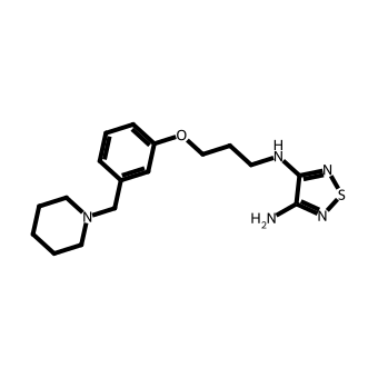 Nc1nsnc1NCCCOc1cccc(CN2CCCCC2)c1